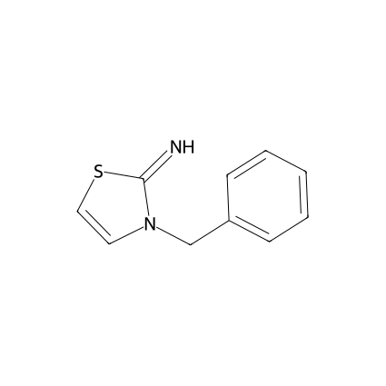 N=c1sccn1Cc1ccccc1